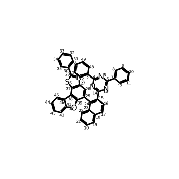 c1ccc(-c2nc(-c3ccccc3)nc(-c3ccc4ccccc4c3-c3cc4nc(-c5ccccc5)sc4c4c3oc3ccccc34)n2)cc1